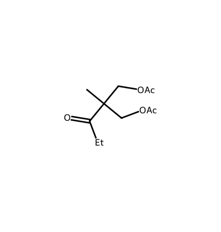 CCC(=O)C(C)(COC(C)=O)COC(C)=O